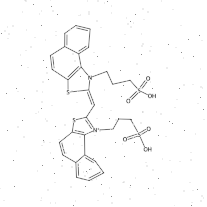 O=S(=O)(O)CCCN1C(=Cc2sc3ccc4ccccc4c3[n+]2CCCS(=O)(=O)O)Sc2ccc3ccccc3c21